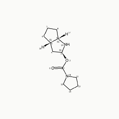 O=C(O[C@H]1C[C@@H]2CCC[C@@H]2N1)N1CCCC1